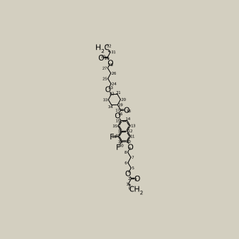 C=CC(=O)OCCCCOc1cc2ccc(OC(=O)C3CCC(OCCCCOC(=O)C=C)CC3)cc2c(F)c1F